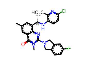 Cc1cc([C@H](C)Nc2ccc(Cl)nc2C(=O)O)c2nc(N3Cc4ccc(F)cc4C3)n(C)c(=O)c2c1